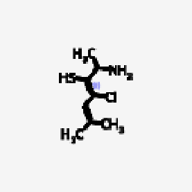 CC(C)=C/C(Cl)=C(\S)C(C)N